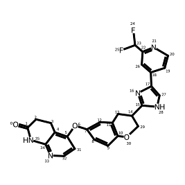 O=C1CCc2c(Oc3ccc4c(c3)CC(c3nc(-c5ccnc(C(F)F)c5)c[nH]3)CO4)ccnc2N1